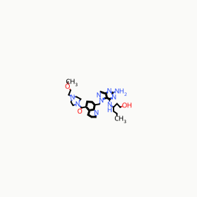 CCCC(CCO)Nc1nc(N)nc2cnn(Cc3ccc(C(=O)N4CCN(CCOC)CC4)c4cccnc34)c12